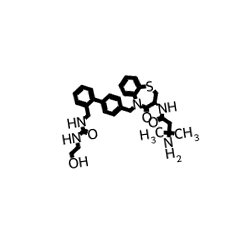 CC(C)(N)CC(=O)N[C@@H]1CSc2ccccc2N(Cc2ccc(-c3ccccc3CNC(=O)NCCO)cc2)C1=O